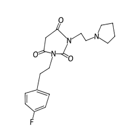 O=C1CC(=O)N(CCN2CCCC2)C(=O)N1CCc1ccc(F)cc1